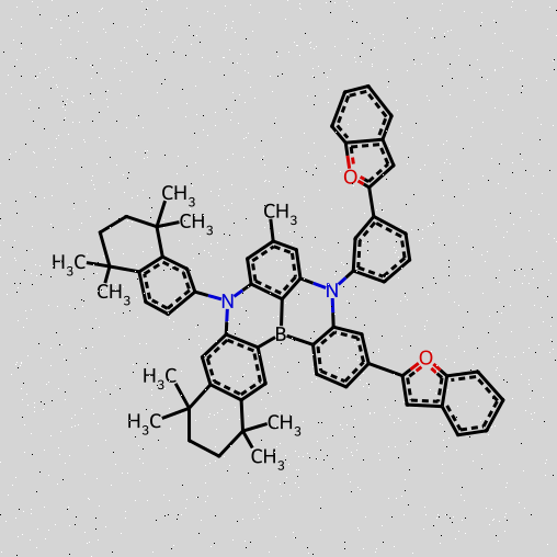 Cc1cc2c3c(c1)N(c1ccc4c(c1)C(C)(C)CCC4(C)C)c1cc4c(cc1B3c1ccc(-c3cc5ccccc5o3)cc1N2c1cccc(-c2cc3ccccc3o2)c1)C(C)(C)CCC4(C)C